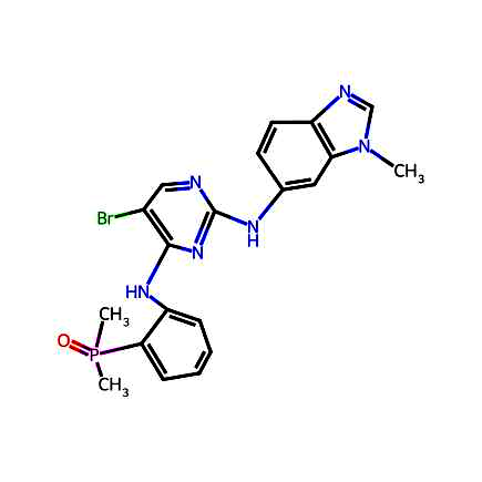 Cn1cnc2ccc(Nc3ncc(Br)c(Nc4ccccc4P(C)(C)=O)n3)cc21